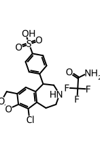 NC(=O)C(F)(F)F.O=S(=O)(O)c1ccc(C2CNCCc3c2cc2c(c3Cl)OOC2)cc1